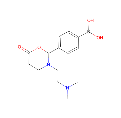 CN(C)CCN1CCC(=O)OC1c1ccc(B(O)O)cc1